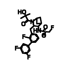 CC(C)(O)C(=O)N1C2CC(C2)C(NS(=O)(=O)CF)C1Cc1cccc(-c2cc(F)cc(F)c2)c1F